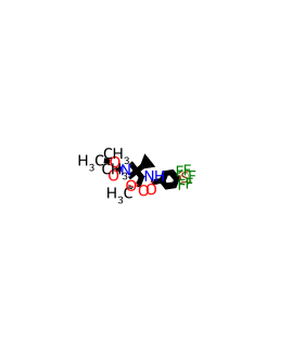 COC(=O)[C@@H](NC(=O)c1ccc(S(F)(F)(F)(F)F)cc1)C1(C2CC2)CN(C(=O)OC(C)(C)C)C1